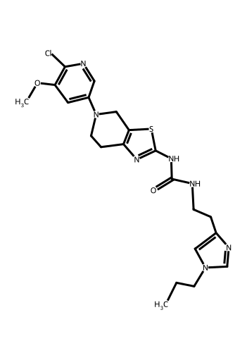 CCCn1cnc(CCNC(=O)Nc2nc3c(s2)CN(c2cnc(Cl)c(OC)c2)CC3)c1